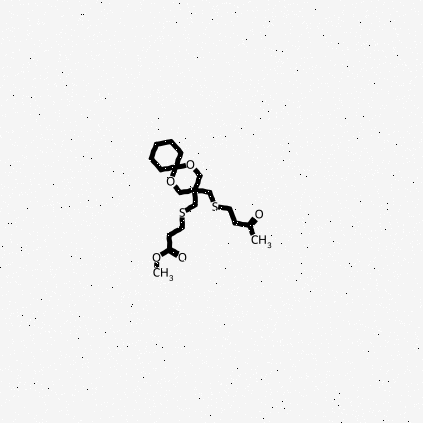 COC(=O)CCSCC1(CSCCC(C)=O)COC2(CCCCC2)OC1